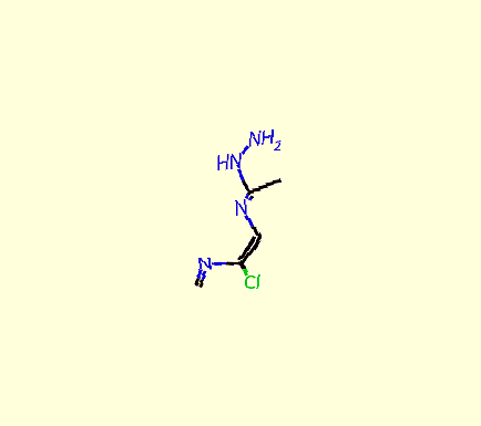 C=N/C(Cl)=C\N=C(/C)NN